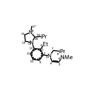 CCc1c(N(/C=C\NC)CC(C)C)cccc1N1CCN(C)C1C(C)C